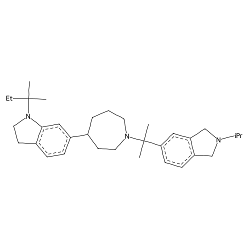 CCC(C)(C)N1CCc2ccc(C3CCCN(C(C)(C)c4ccc5c(c4)CN(C(C)C)C5)CC3)cc21